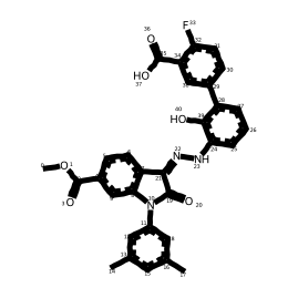 COC(=O)c1ccc2c(c1)N(c1cc(C)cc(C)c1)C(=O)/C2=N\Nc1cccc(-c2ccc(F)c(C(=O)O)c2)c1O